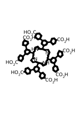 O=C(O)c1ccc(-c2cc(-c3ccc(C(=O)O)cc3)cc(-c3c4nc(c(-c5cc(-c6ccc(C(=O)O)cc6)cc(-c6ccc(C(=O)O)cc6)c5)c5ccc([nH]5)c(-c5cc(-c6ccc(C(=O)O)cc6)cc(-c6ccc(C(=O)O)cc6)c5)c5nc(c(-c6cc(-c7ccc(C(=O)O)cc7)cc(-c7ccc(C(=O)O)cc7)c6)c6ccc3[nH]6)C=C5)C=C4)c2)cc1